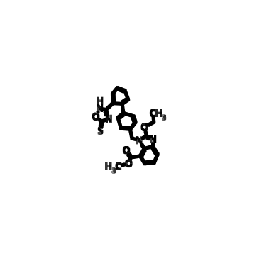 CCOc1nc2cccc(C(=O)OC)c2n1Cc1ccc(-c2ccccc2-c2nc(=S)o[nH]2)cc1